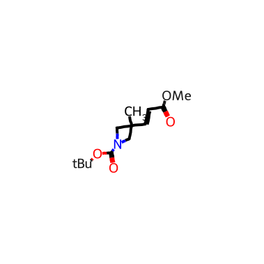 COC(=O)/C=C/C1(C)CN(C(=O)OC(C)(C)C)C1